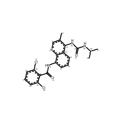 Cc1cnc2c(NC(=O)c3c(Cl)cccc3Cl)cccc2c1NC(=O)NC(C)C